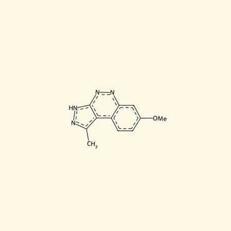 COc1ccc2c(c1)nnc1[nH]nc(C)c12